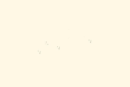 c1cn(C2CN3CCC2CC3)nn1